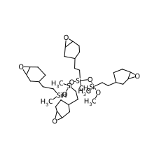 CO[Si](C)(CCC1CCC2OC2C1)O[Si](C)(CCC1CCC2OC2C1)O[Si](C)(CCC1CCC2OC2C1)O[SiH](C)CCC1CCC2OC2C1